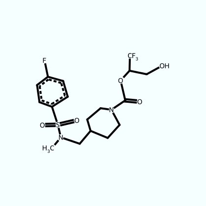 CN(CC1CCN(C(=O)OC(CO)C(F)(F)F)CC1)S(=O)(=O)c1ccc(F)cc1